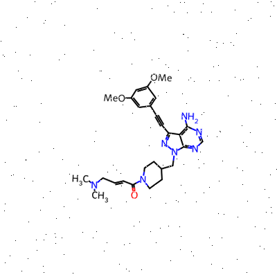 COc1cc(C#Cc2nn(CC3CCN(C(=O)C=CCN(C)C)CC3)c3ncnc(N)c23)cc(OC)c1